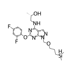 C[C@H](O)CNc1nc(Oc2ccc(F)cc2F)nc2c1cnn2COCCC[SiH](C)C